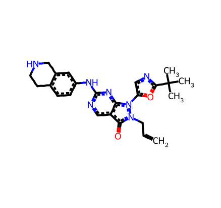 C=CCn1c(=O)c2cnc(Nc3ccc4c(c3)CNCC4)nc2n1-c1cnc(C(C)(C)C)o1